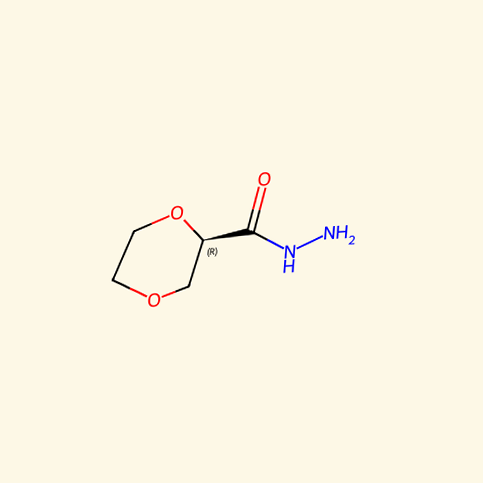 NNC(=O)[C@H]1COCCO1